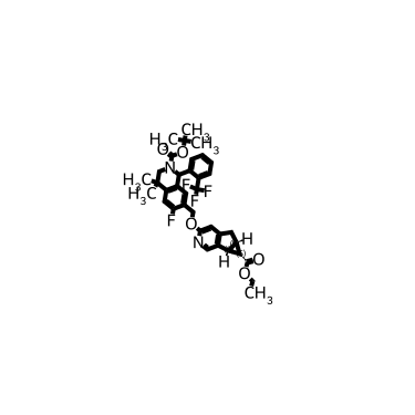 CCOC(=O)[C@H]1[C@@H]2Cc3cc(OCc4cc5c(cc4F)C(C)(C)CN(C(=O)OC(C)(C)C)C5c4ccccc4C(F)(F)F)ncc3[C@@H]21